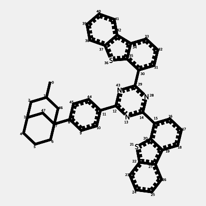 CC1CC2CCCC(c3ccc(-c4nc(-c5cccc6c5sc5ccccc56)nc(-c5cccc6c5sc5ccccc56)n4)cc3)(C1)C2